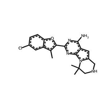 Cc1c(-c2nc(N)c3cc4n(c3n2)C(C)(C)CNC4)oc2ccc(Cl)cc12